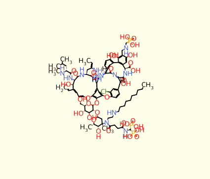 C=C/C1=C\C=C\Oc2cc3cc(c2O[C@@H]2O[C@H](CO)[C@@H](O)[C@H](O)[C@H]2O[C@H]2C[C@](C)(N(CCNCCCCCCCCCC)C(=O)CCC(=O)NC(P(=O)(O)O)P(=O)(O)O)[C@H](O)[C@H](C)O2)Oc2ccc(cc2Cl)[C@@H](O)/C2=N\C(=O)[C@H](NC(=O)[C@@H]3NC(=O)[C@H](C/C(N)=C\C)NC(=O)[C@H](NC(=O)[C@@H](CC(C)C)NC)[C@@H]1O)c1ccc(O)c(c1)-c1c(cc(O)c(CNCP(=O)(O)O)c1O)[C@@H](C(=O)O)NC2=O